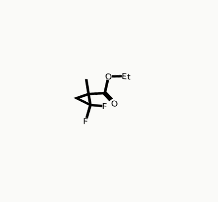 CCOC(=O)C1(C)CC1(F)F